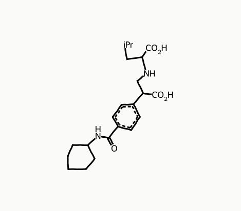 CC(C)CC(NCC(C(=O)O)c1ccc(C(=O)NC2CCCCC2)cc1)C(=O)O